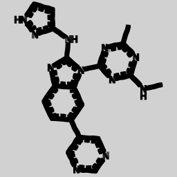 CNc1nc(C)nc(-n2c(Nc3cc[nH]n3)nc3ccc(-c4cncnc4)cc32)n1